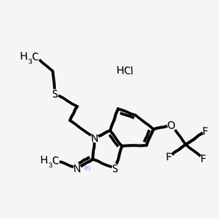 CCSCCn1/c(=N\C)sc2cc(OC(F)(F)F)ccc21.Cl